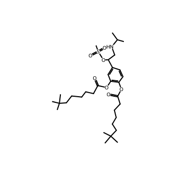 CC(C)NCC(OS(C)(=O)=O)c1ccc(OC(=O)CCCCCC(C)(C)C)c(OC(=O)CCCCCC(C)(C)C)c1